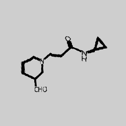 O=CC1CCCN(CCC(=O)NC2CC2)C1